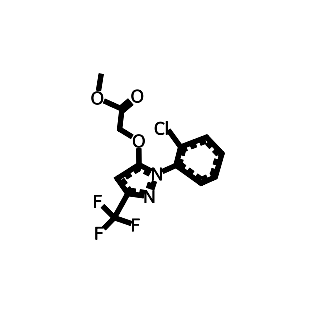 COC(=O)COc1cc(C(F)(F)F)nn1-c1ccccc1Cl